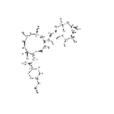 C=CCN1CCN(C(=O)OC2/C=C/C(C)C(/C(C)=C/C=C/C(C)(C)CC3OC3C(C)C(C)CC)OC(=O)CC(C)CCC2(C)C)CC1